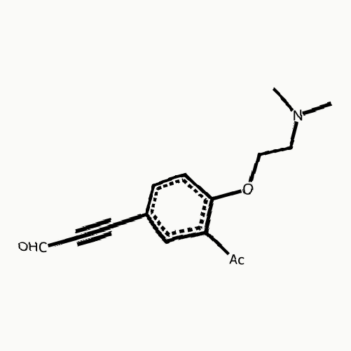 CC(=O)c1cc(C#CC=O)ccc1OCCN(C)C